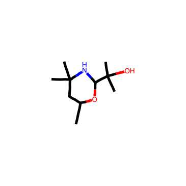 CC1CC(C)(C)NC(C(C)(C)O)O1